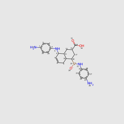 Nc1ccc(NC2C=CCC3C2CC(C(=O)O)CC3[S+]([O-])Nc2ccc(N)cc2)cc1